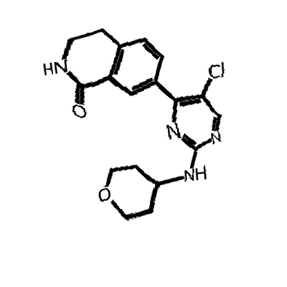 O=C1NCCc2ccc(-c3nc(NC4CCOCC4)ncc3Cl)cc21